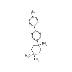 BC1(c2ccc(-c3ccc(C(C)(C)C)cc3)nc2)CCC(C)(C)CC1